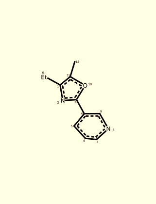 CCc1nc(-c2cccnc2)oc1C